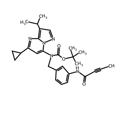 CC#CC(=O)Nc1cccc(CN(C(=O)OC(C)(C)C)c2cc(C3CC3)nc3c(C(C)C)cnn23)c1